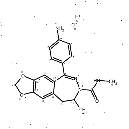 CNC(=O)N1N=C(c2ccc(N)cc2)c2cc3c(cc2CC1C)OCO3.[Cl-].[H+]